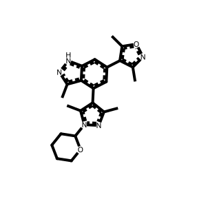 Cc1noc(C)c1-c1cc(-c2c(C)nn(C3CCCCO3)c2C)c2c(C)n[nH]c2c1